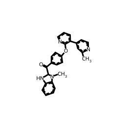 Cc1cc(-c2cccnc2Oc2ccc(C(=O)C3Nc4ccccc4N3C)cc2)ccn1